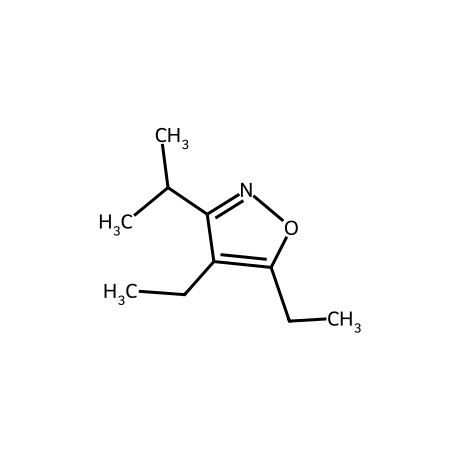 CCc1onc(C(C)C)c1CC